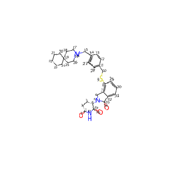 O=C1CCC(N2Cc3c(SCc4ccc(CN5CCC6(CCCCC6)CC5)cc4)cccc3C2=O)C(=O)N1